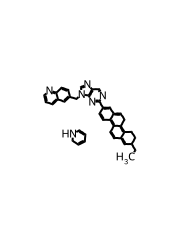 C1=CCNC=C1.CCC1C=c2ccc3c(c2CC1)CC=c1cc(-c2ncc4ncn(Cc5ccc6ncccc6c5)c4n2)ccc1=3